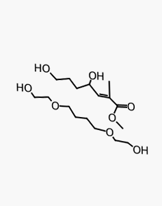 COC(=O)C(C)=CC(O)CCCO.OCCOCCCCOCCO